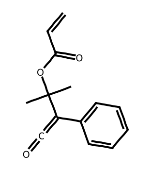 C=CC(=O)OC(C)(C)C(=C=O)c1ccccc1